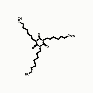 N#COCCCCCCn1c(=O)n(CCCCCCOC#N)c(=O)n(CCCCCCOC#N)c1=O